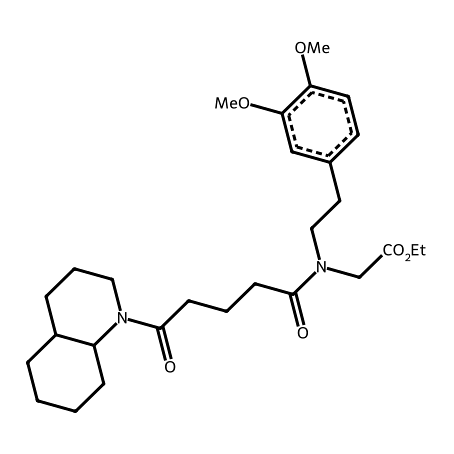 CCOC(=O)CN(CCc1ccc(OC)c(OC)c1)C(=O)CCCC(=O)N1CCCC2CCCCC21